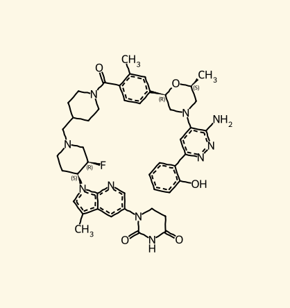 Cc1cc([C@@H]2CN(c3cc(-c4ccccc4O)nnc3N)C[C@H](C)O2)ccc1C(=O)N1CCC(CN2CC[C@H](n3cc(C)c4cc(N5CCC(=O)NC5=O)cnc43)[C@H](F)C2)CC1